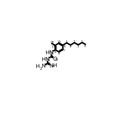 CCCCCCc1ccc(NC(=O)NC(=N)N)c(C)c1